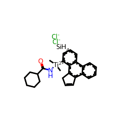 [CH3][Ti+2]([CH3])([NH]C(=O)C1CCCCC1)[c]1cccc2c1c1c(c3ccccc32)C=CC1.[Cl-].[Cl-].[SiH4]